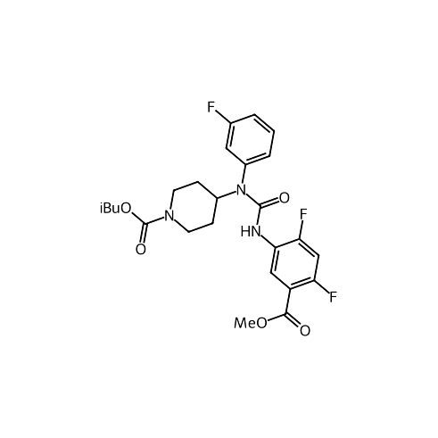 COC(=O)c1cc(NC(=O)N(c2cccc(F)c2)C2CCN(C(=O)OCC(C)C)CC2)c(F)cc1F